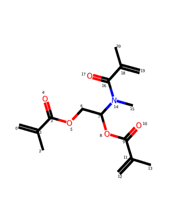 C=C(C)C(=O)OCC(OC(=O)C(=C)C)N(C)C(=O)C(=C)C